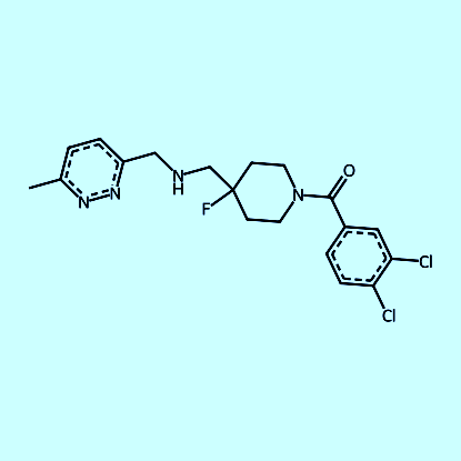 Cc1ccc(CNCC2(F)CCN(C(=O)c3ccc(Cl)c(Cl)c3)CC2)nn1